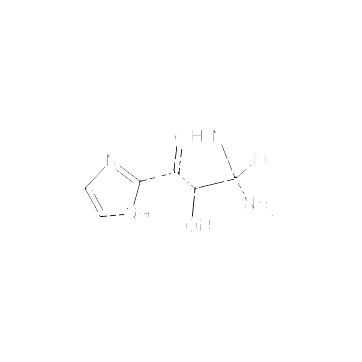 CCC(N)(N)C(O)C(=O)c1ncc[nH]1